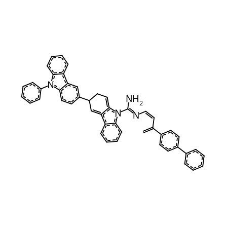 C=C(/C=C\N=C(/N)n1c2c(c3ccccc31)=CC(c1ccc3c(c1)c1ccccc1n3-c1ccccc1)CC=2)c1ccc(-c2ccccc2)cc1